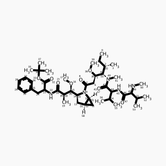 CC[C@H](C)[C@@H]([C@@H](CC(=O)N1[C@H]2C[C@H]2C[C@H]1[C@H](OC)[C@@H](C)C(=O)NC(Cc1ccccc1)C(=O)OC(C)(C)C)OC)N(C)C(=O)C(NC(=O)C(NC)C(C)C)C(C)C